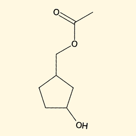 CC(=O)OCC1CCC(O)C1